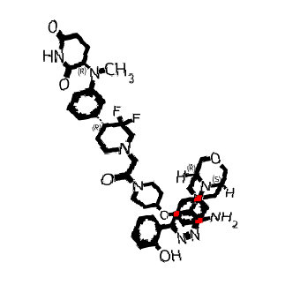 CN(c1cccc([C@H]2CCN(CC(=O)N3CCC(Oc4cccc(N5[C@@H]6COC[C@H]5CN(c5cc(-c7ccccc7O)nnc5N)C6)c4)CC3)CC2(F)F)c1)[C@@H]1CCC(=O)NC1=O